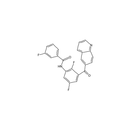 O=C(Nc1cc(F)cc(C(=O)c2ccc3ncccc3c2)c1F)c1cccc(F)c1